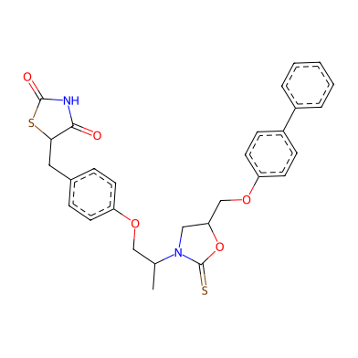 CC(COc1ccc(CC2SC(=O)NC2=O)cc1)N1CC(COc2ccc(-c3ccccc3)cc2)OC1=S